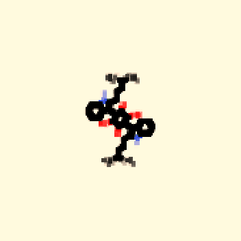 CC(C)=CCCc1[nH]c2ccccc2c1C1=C(O)C(=O)C(c2c(CCC=C(C)C)[nH]c3ccccc23)=C(O)C1=O